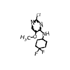 COc1cnc(Cl)nc1NC1CCC(F)(F)CC1